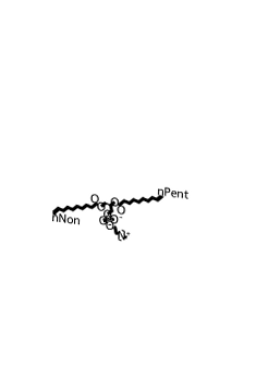 CCCCC/C=C\CCCCCCCC(=O)O[C@H](COC(=O)CCCCCCC/C=C\CCCCCCCCC)COP(=O)([O-])OCC[N+](C)(C)C